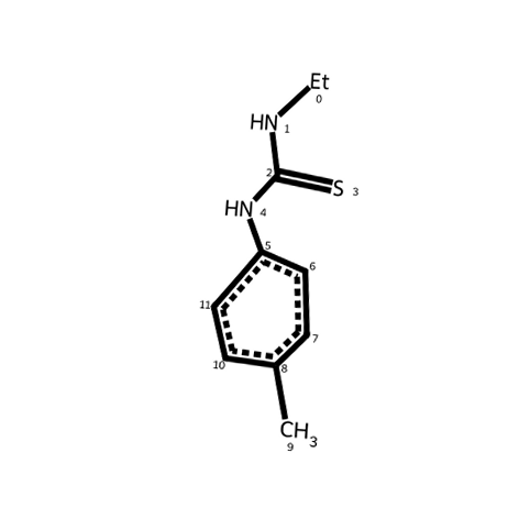 CCNC(=S)Nc1ccc(C)cc1